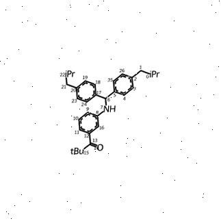 CC(C)Cc1ccc(C(Nc2cccc(C(=O)C(C)(C)C)c2)c2ccc(CC(C)C)cc2)cc1